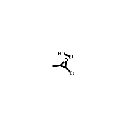 CCC1OC1C.CCO